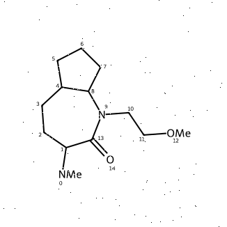 CNC1CCC2CCCC2N(CCOC)C1=O